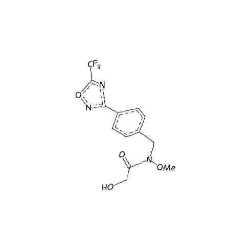 CON(Cc1ccc(-c2noc(C(F)(F)F)n2)cc1)C(=O)CO